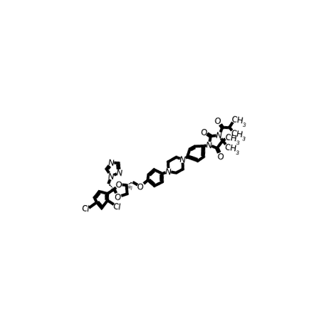 CC(C)C(=O)N1C(=O)N(c2ccc(N3CCN(c4ccc(OC[C@@H]5CO[C@@](Cn6cncn6)(c6ccc(Cl)cc6Cl)O5)cc4)CC3)cc2)C(=O)C1(C)C